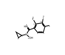 Cc1ccc(C(=N)N(O)C2CC2)c(F)c1I